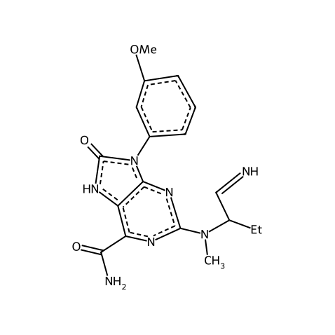 CCC(C=N)N(C)c1nc(C(N)=O)c2[nH]c(=O)n(-c3cccc(OC)c3)c2n1